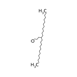 CCCCCCCCCCCCC(CCC[O])CCCCCCCCCCCC